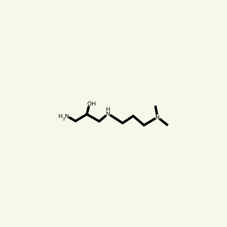 CN(C)CCCNCC(O)CN